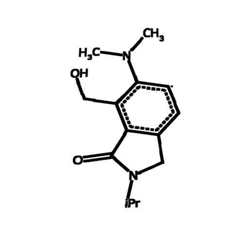 CC(C)N1Cc2c[c]c(N(C)C)c(CO)c2C1=O